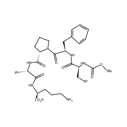 CC(C)C[C@H](NC(=O)OC(C)(C)C)C(=O)N[C@H](Cc1ccccc1)C(=O)N1CCC[C@H]1C(=O)N[C@H](C(=O)N[C@@H](CCCN)C(=O)O)C(C)C